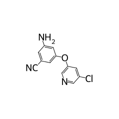 N#Cc1cc(N)cc(Oc2cncc(Cl)c2)c1